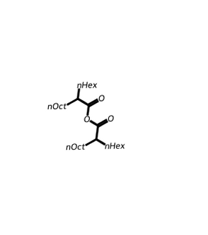 CCCCCCCCC(CCCCCC)C(=O)OC(=O)C(CCCCCC)CCCCCCCC